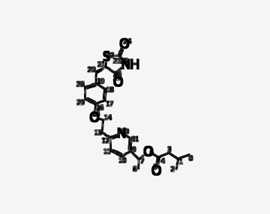 CC(C)CC(=O)OC(C)c1ccc(CCOc2ccc(C[C@H]3SC(=O)NC3=O)cc2)nc1